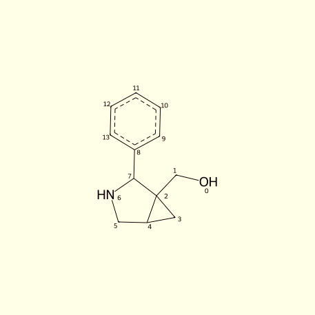 OCC12CC1CNC2c1ccccc1